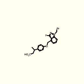 CC(C)Cn1nc(F)c2c(COc3ccc(C(C)CC(=O)O)cc3)cccc21